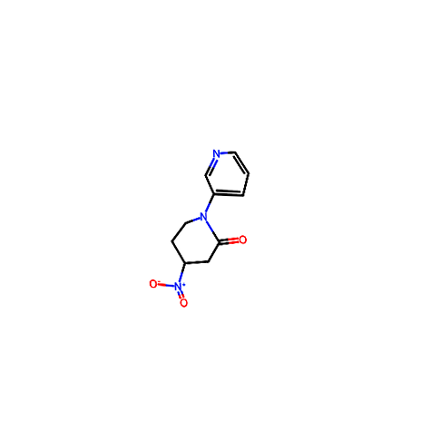 O=C1CC([N+](=O)[O-])CCN1c1cccnc1